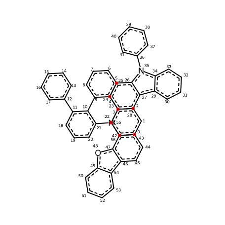 c1ccc(-c2ccccc2-c2c(-c3ccccc3)cccc2N(c2ccc3c(c2)c2ccccc2n3-c2ccccc2)c2cccc3c2oc2ccccc23)cc1